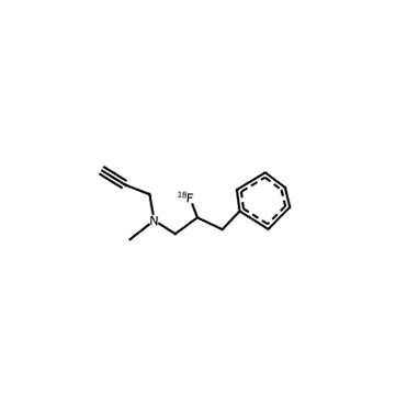 C#CCN(C)CC([18F])Cc1ccccc1